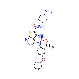 Cc1cc(Oc2ccccc2)ccc1N1C(=O)Nc2c(C(=O)NC3CCC(N)CC3)sc3nccc1c23